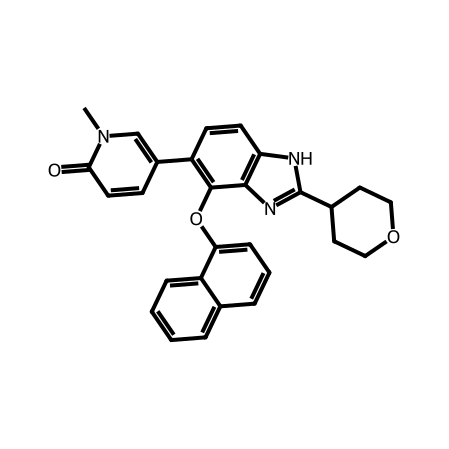 Cn1cc(-c2ccc3[nH]c(C4CCOCC4)nc3c2Oc2cccc3ccccc23)ccc1=O